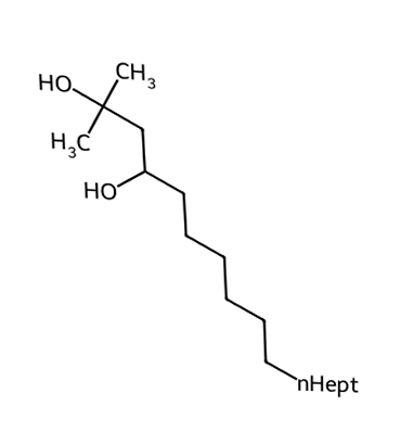 CCCCCCCCCCCCCC(O)CC(C)(C)O